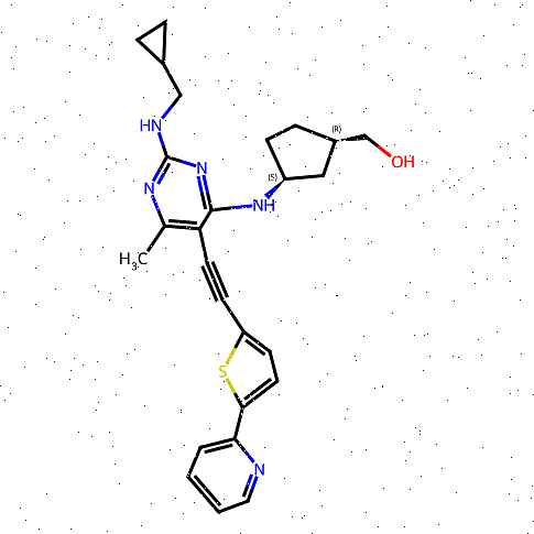 Cc1nc(NCC2CC2)nc(N[C@H]2CC[C@@H](CO)C2)c1C#Cc1ccc(-c2ccccn2)s1